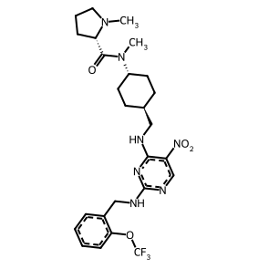 CN1CCC[C@H]1C(=O)N(C)[C@H]1CC[C@H](CNc2nc(NCc3ccccc3OC(F)(F)F)ncc2[N+](=O)[O-])CC1